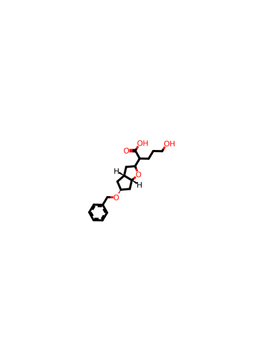 O=C(O)C(CCCO)C1C[C@H]2C[C@@H](OCc3ccccc3)C[C@H]2O1